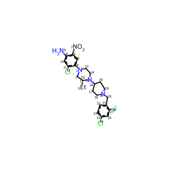 CC[C@H]1CN(c2cc([N+](=O)[O-])c(N)cc2Cl)CCN1C1CCN(Cc2ccc(Cl)cc2F)CC1